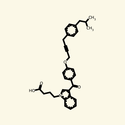 CC(C)Cc1ccc(CC#CCOc2ccc(C(=O)c3cn(CCCC(=O)O)c4ccccc34)cc2)cc1